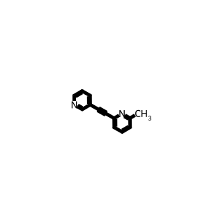 Cc1cccc(C#Cc2cccnc2)n1